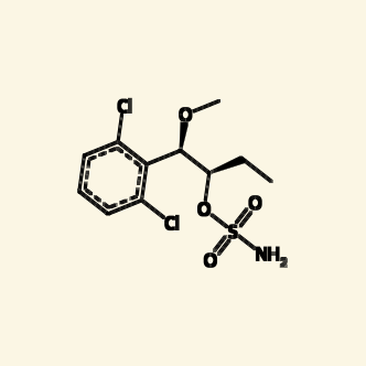 CC[C@@H](OS(N)(=O)=O)[C@H](OC)c1c(Cl)cccc1Cl